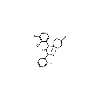 Cc1ccccc1C(=O)NC(c1cccc(F)c1Cl)[C@]1(O)CC[C@@H](F)CC1